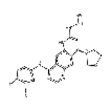 CCCNNC(=O)Nc1cc2c(Nc3ccc(F)c(Cl)c3)ncnc2cc1O[C@H]1CCOC1